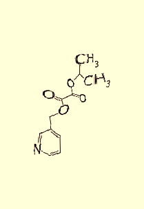 CC(C)OC(=O)C(=O)OCc1cccnc1